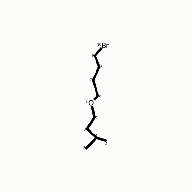 CC(C)CCOCCCCBr